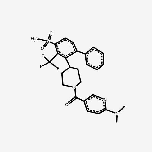 CN(C)c1ccc(C(=O)N2CCC(c3c(-c4ccccc4)ccc(S(N)(=O)=O)c3C(F)(F)F)CC2)cn1